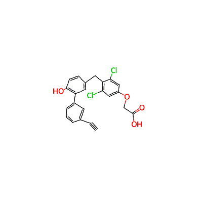 C#Cc1cccc(-c2cc(Cc3c(Cl)cc(OCC(=O)O)cc3Cl)ccc2O)c1